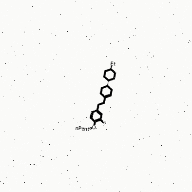 CCCCCOc1ccc(CCC2=CCC([C@H]3CC[C@H](CC)CC3)CC2)cc1F